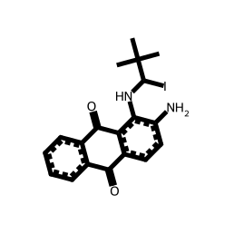 CC(C)(C)C(I)Nc1c(N)ccc2c1C(=O)c1ccccc1C2=O